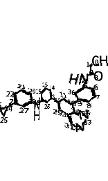 C=CC(=O)Nc1cccc(-c2cc(-c3cccc(Nc4cccc(C5CC5)c4)c3)cc3cncnc23)c1